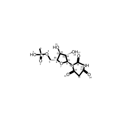 CP(=O)(O)OC[C@H]1O[C@H](N2C(=O)CC(=O)NC2=O)[C@@H](O)[C@@H]1O